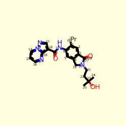 CC(C)c1cc2c(cc1NC(=O)c1cnn3cccnc13)CN(CCC(C)(C)O)C2=O